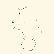 FC(F)N1C=CN(c2ccccc2)C1.[Cl][Pd][Cl]